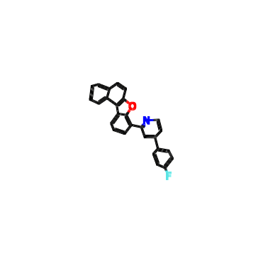 Fc1ccc(-c2ccnc(-c3cccc4c3oc3ccc5ccccc5c34)c2)cc1